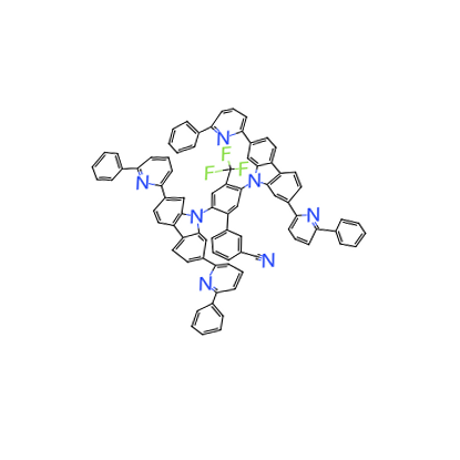 N#Cc1cccc(-c2cc(-n3c4cc(-c5cccc(-c6ccccc6)n5)ccc4c4ccc(-c5cccc(-c6ccccc6)n5)cc43)c(C(F)(F)F)cc2-n2c3cc(-c4cccc(-c5ccccc5)n4)ccc3c3ccc(-c4cccc(-c5ccccc5)n4)cc32)c1